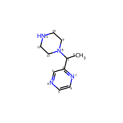 CC(c1cnccn1)N1CCNCC1